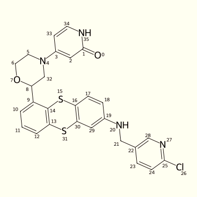 O=c1cc(N2CCOC(c3cccc4c3Sc3ccc(NCc5ccc(Cl)nc5)cc3S4)C2)cc[nH]1